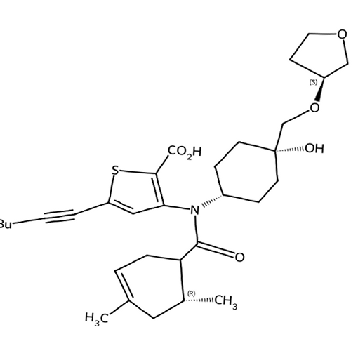 CC1=CCC(C(=O)N(c2cc(C#CC(C)(C)C)sc2C(=O)O)[C@H]2CC[C@](O)(CO[C@H]3CCOC3)CC2)[C@H](C)C1